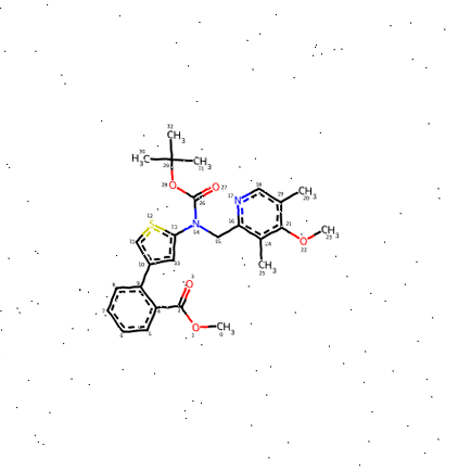 COC(=O)c1ccccc1-c1csc(N(Cc2ncc(C)c(OC)c2C)C(=O)OC(C)(C)C)c1